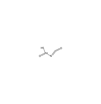 O=C=N[PH](=O)S